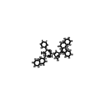 C1=C(C2=NC(c3ccccc3)NC(c3ccc4ccccc4c3)N2)C2CN2C1n1c2ccccc2c2c3ccccc3ccc21